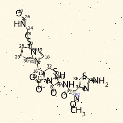 CO/N=C(\C(=O)N[C@@H]1C(=O)N2C(C(=O)[O-])=C(Cn3cc[n+]4c(SCCNC=O)cccc34)CS[C@@H]12)c1csc(N)n1